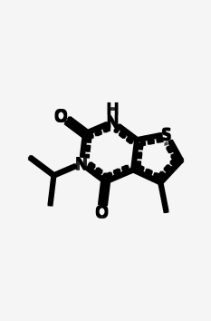 Cc1csc2[nH]c(=O)n(C(C)C)c(=O)c12